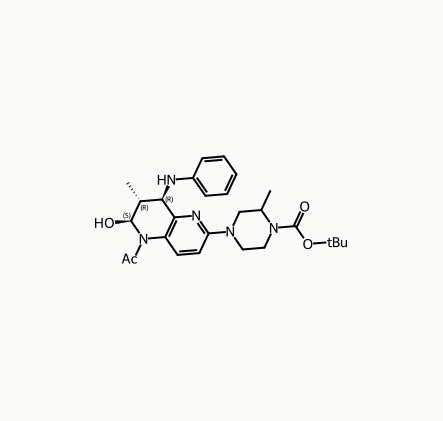 CC(=O)N1c2ccc(N3CCN(C(=O)OC(C)(C)C)C(C)C3)nc2[C@H](Nc2ccccc2)[C@@H](C)[C@@H]1O